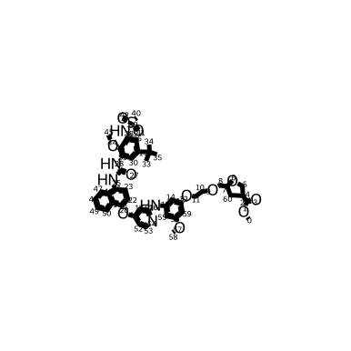 COC(=O)C1COC(COCCOc2cc(Nc3cc(Oc4ccc(NC(=O)Nc5cc(C(C)(C)C)cc(NS(C)(=O)=O)c5OC)c5ccccc45)ccn3)cc(OC)c2)C1